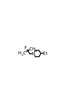 [CH2]CC1CCN(CC(C)(C)F)CC1